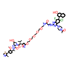 COc1cc(-c2scnc2C)ccc1[C@H](C)NC(=O)[C@@H]1C[C@@H](O)CN1C(=O)[C@H](c1cc(OCCOCCOCCOCCOCCN(C)C(=O)CCNc2nc(N3CCN(C(C)=O)CC3)c3cc(Cl)c(-c4cc(O)cc5ccccc45)c(F)c3n2)no1)C(C)C